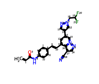 C=CC(=O)Nc1ccc(/C=C/c2cc(-c3cnn(CC(F)F)c3)cn3ncc(C#N)c23)cc1